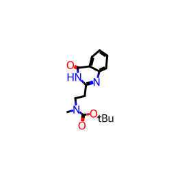 CN(CCc1nc2ccccc2c(=O)[nH]1)C(=O)OC(C)(C)C